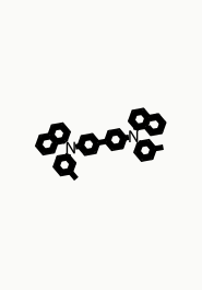 Cc1cccc(N(c2ccc(-c3ccc(N(c4cccc(C)c4)c4cccc5ccccc45)cc3)cc2)c2cccc3ccccc23)c1